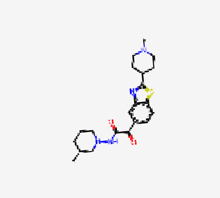 C[C@H]1CCCN(NC(=O)C(=O)c2ccc3sc(C4CCN(C)CC4)nc3c2)C1